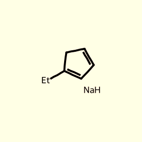 CCC1=CC=CC1.[NaH]